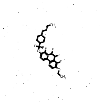 CCCCC1CCC(C(F)(F)Oc2ccc3c(c2F)C(F)C(F)c2c-3ccc(OCC)c2F)CC1